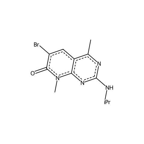 Cc1nc(NC(C)C)nc2c1cc(Br)c(=O)n2C